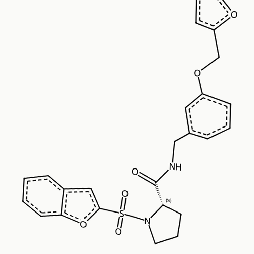 O=C(NCc1cccc(OCc2ccco2)c1)[C@@H]1CCCN1S(=O)(=O)c1cc2ccccc2o1